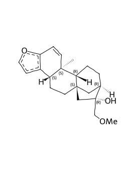 COC[C@@]1(O)C[C@@]23CC[C@@H]4c5ccoc5C=C[C@@]4(C)[C@@H]2CC[C@@H]1C3